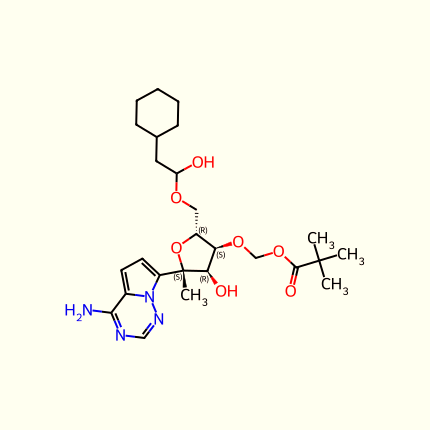 CC(C)(C)C(=O)OCO[C@H]1[C@@H](O)[C@](C)(c2ccc3c(N)ncnn23)O[C@@H]1COC(O)CC1CCCCC1